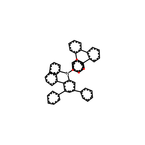 c1ccc(-c2cc(-c3ccccc3)c(-c3ccccc3)c(N(c3ccccc3)c3ccc(-c4ccccc4-c4ccccc4-c4ccccc4)cc3)c2)cc1